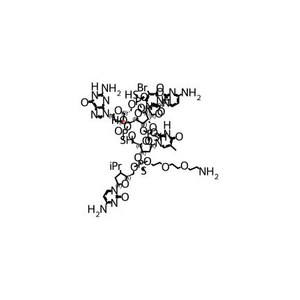 Cc1cn([C@H]2C[C@@H](OP(=S)(OCCOCCOCCN)OC[C@H]3O[C@@H](n4ccc(N)nc4=O)CC3C(C)C)[C@@H](COP(=O)(S)O[C@@H]3C[C@H](n4cnc5c(=O)[nH]c(N)nc54)O[C@@H]3COP(=O)(S)O[C@@H]3C[C@H](n4ccc(N)nc4=O)O[C@@H]3COP(=O)(S)O[C@@H]3C[C@H](n4cc(Br)c(=O)[nH]c4=O)O[C@@H]3CO)O2)c(=O)[nH]c1=O